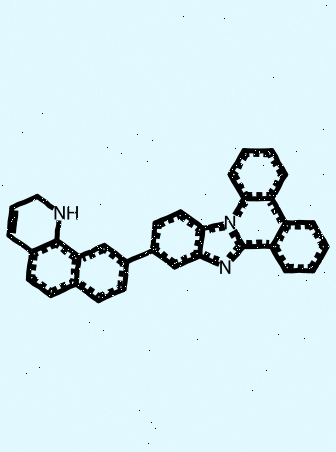 C1=Cc2ccc3ccc(-c4ccc5c(c4)nc4c6ccccc6c6ccccc6n54)cc3c2NC1